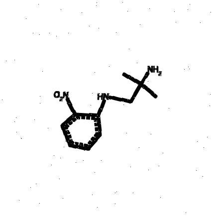 CC(C)(N)CNc1ccccc1[N+](=O)[O-]